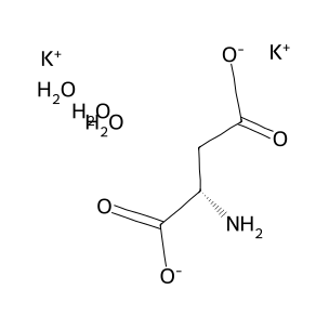 N[C@@H](CC(=O)[O-])C(=O)[O-].O.O.O.[K+].[K+]